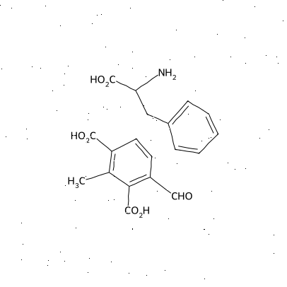 Cc1c(C(=O)O)ccc(C=O)c1C(=O)O.NC(Cc1ccccc1)C(=O)O